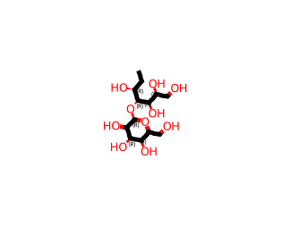 CC[C@@H](O)[C@@H](O[C@H]1OC(CO)[C@@H](O)[C@@H](O)C1O)[C@H](O)[C@@H](O)CO